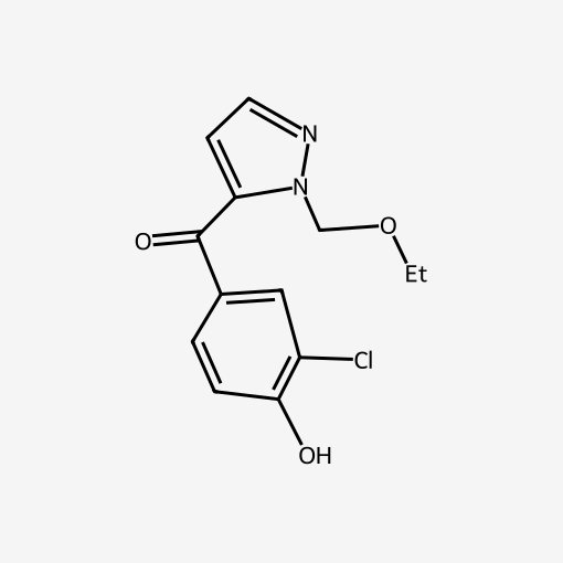 CCOCn1nccc1C(=O)c1ccc(O)c(Cl)c1